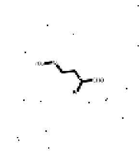 CCCCOCCC(Br)C=O